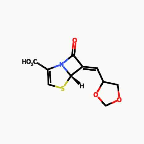 O=C(O)C1=CS[C@H]2/C(=C\C3COCO3)C(=O)N12